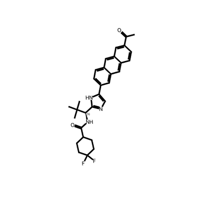 CC(=O)c1ccc2cc3cc(-c4cnc([C@@H](NC(=O)C5CCC(F)(F)CC5)C(C)(C)C)[nH]4)ccc3cc2c1